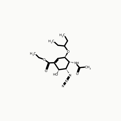 CCOC(=O)C1=C[C@@H](OC(CC)CC)[C@H](NC(C)=O)[C@H](N=[N+]=[N-])[C@@H]1O